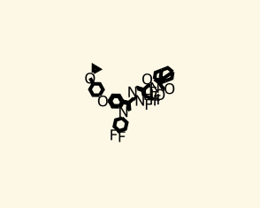 O=C(NC1(C(=O)O)C2CC3CC(C2)CC1C3)c1cnc(-c2cn(C3CCC(F)(F)CC3)c3cc(OC4CCC(OC5CC5)CC4)ccc23)nc1C(F)(F)F